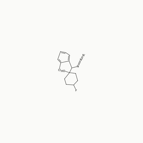 [N-]=[N+]=NC(c1ccccc1Cl)C1(O)CCC(F)CC1